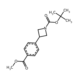 COC(=O)c1ccc(C2CN(C(=O)OC(C)(C)C)C2)cc1